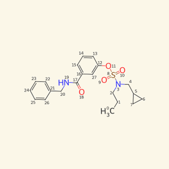 CCCN(CC1CC1)S(=O)(=O)Oc1cccc(C(=O)NCc2ccccc2)c1